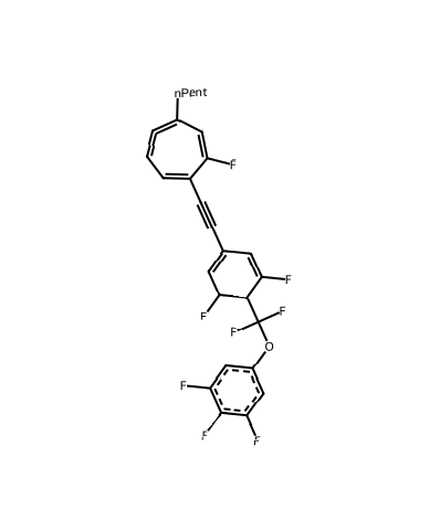 CCCCCC1=C=CC=C(C#CC2=CC(F)C(C(F)(F)Oc3cc(F)c(F)c(F)c3)C(F)=C2)C(F)=C1